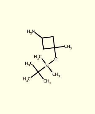 CC1(O[Si](C)(C)C(C)(C)C)CC(N)C1